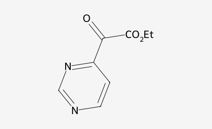 CCOC(=O)C(=O)c1ccncn1